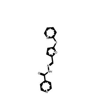 O=C(N/N=C/c1ccc(Sc2ccccn2)o1)c1ccncc1